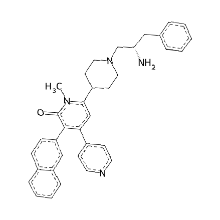 Cn1c(C2CCN(C[C@@H](N)Cc3ccccc3)CC2)cc(-c2ccncc2)c(-c2ccc3ccccc3c2)c1=O